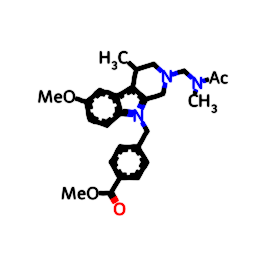 COC(=O)c1ccc(Cn2c3c(c4cc(OC)ccc42)C(C)CN(CN(C)C(C)=O)C3)cc1